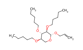 C=CCO[C@@H]1OC[C@@H](OCCCCC)[C@H](OCCCCC)[C@H]1OCCCCC